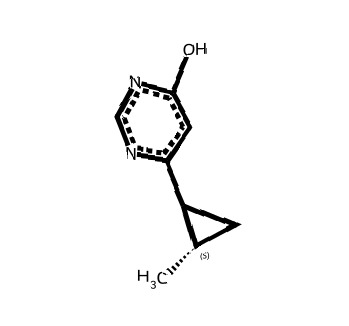 C[C@H]1CC1c1cc(O)ncn1